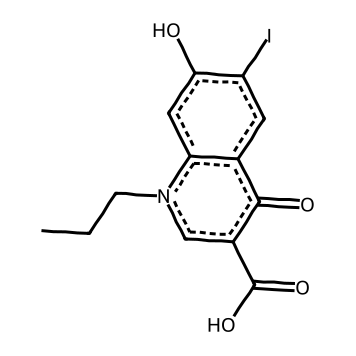 CCCn1cc(C(=O)O)c(=O)c2cc(I)c(O)cc21